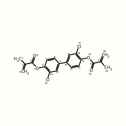 C=C(C)C(=O)Oc1ccc(-c2ccc(OC(=O)C(=C)C)c(Cl)c2)cc1Cl